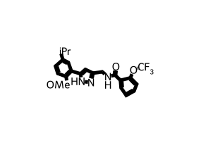 COc1ccc(C(C)C)cc1-c1cc(CNC(=O)c2ccccc2OC(F)(F)F)n[nH]1